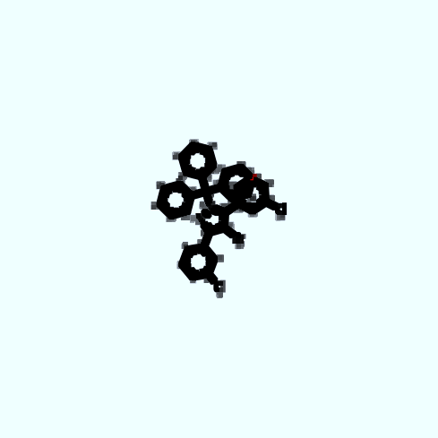 Clc1cccc(-c2nn(C(c3ccccc3)(c3ccccc3)c3ccccc3)c(-c3cccc(Cl)c3)c2Br)c1